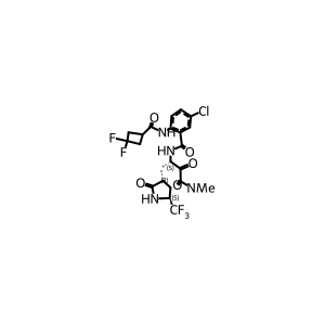 CNC(=O)C(=O)[C@H](C[C@@H]1C[C@@H](C(F)(F)F)NC1=O)NC(=O)c1cc(Cl)ccc1NC(=O)C1CC(F)(F)C1